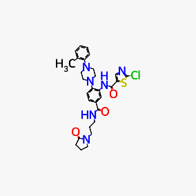 Cc1ccccc1N1CCN(c2ccc(C(=O)NCCCN3CCCC3=O)cc2NC(=O)c2cnc(Cl)s2)CC1